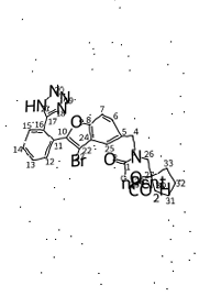 CCCCCC(=O)N(Cc1ccc2oc(-c3ccccc3-c3nnn[nH]3)c(Br)c2c1)CC1(OC(=O)O)CCCC1